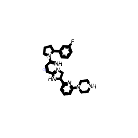 N=C(/C=C\C1=NCC(c2cccc(N3CCNCC3)n2)N1)N1CCCC1c1cccc(F)c1